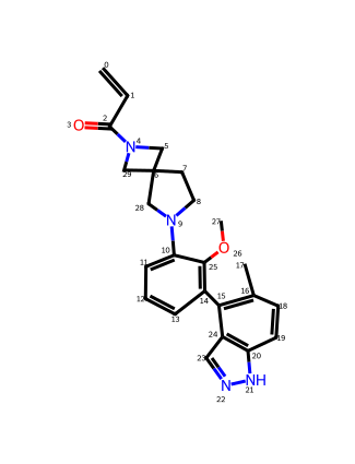 C=CC(=O)N1CC2(CCN(c3cccc(-c4c(C)ccc5[nH]ncc45)c3OC)C2)C1